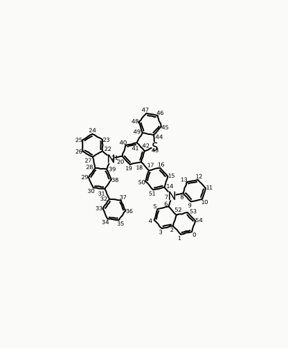 C1=CC2=CC=CC(N(c3ccccc3)c3ccc(-c4cc(-n5c6ccccc6c6ccc(-c7ccccc7)cc65)cc5c4sc4ccccc45)cc3)C2C=C1